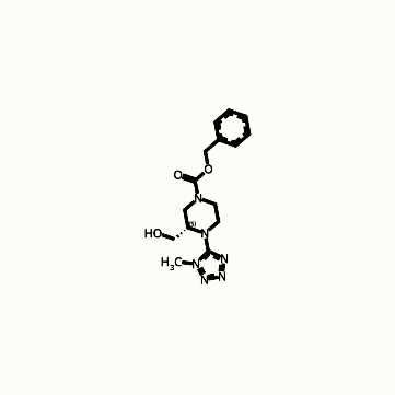 Cn1nnnc1N1CCN(C(=O)OCc2ccccc2)C[C@H]1CO